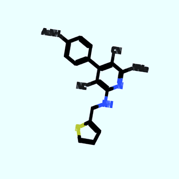 CNc1nc(NCc2cccs2)c(C#N)c(-c2ccc(NC(C)=O)cc2)c1C#N